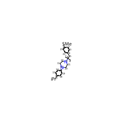 CSc1ccc(CC(C)(C)N2CCN(c3ccc(C(C)C)cc3)CC2)cc1